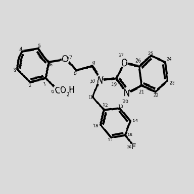 O=C(O)c1ccccc1OCCN(Cc1ccc(F)cc1)c1nc2ccccc2o1